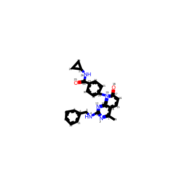 Cc1nc(NCc2ccccc2)nc2c1ccc(=O)n2-c1ccc(C(=O)NC2CC2)cc1